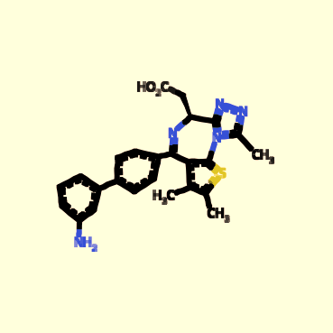 Cc1sc2c(c1C)C(c1ccc(-c3cccc(N)c3)cc1)=N[C@@H](CC(=O)O)c1nnc(C)n1-2